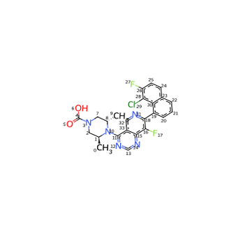 C[C@H]1CN(C(=O)O)C[C@H](C)N1c1ncnc2c(F)c(-c3cccc4ccc(F)c(Cl)c34)ncc12